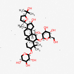 CC(C)(O)[C@@H]1CC[C@](C)([C@H]2[C@@H](O)C[C@@]3(C)[C@@H]4CC(O[C@@H]5O[C@H](CO)[C@@H](O)[C@H](O)[C@H]5O)[C@H]5C(C)(C)C(O[C@@H]6OC[C@@H](O)C(O)[C@H]6O)CC[C@@]56CC46CC[C@]23C)O1